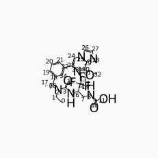 CCN(C(=O)NC(CNC(=O)O)C(F)(F)F)[C@H](C)c1cccc(-c2cn3ccnc3c(OC)n2)c1